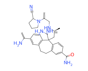 C=C(N)c1ccc2c(c1)CCc1cc(C(N)=O)ccc1C2(C[C@H](C)NCC(=C)N1CCCC1C#N)C(=N)N